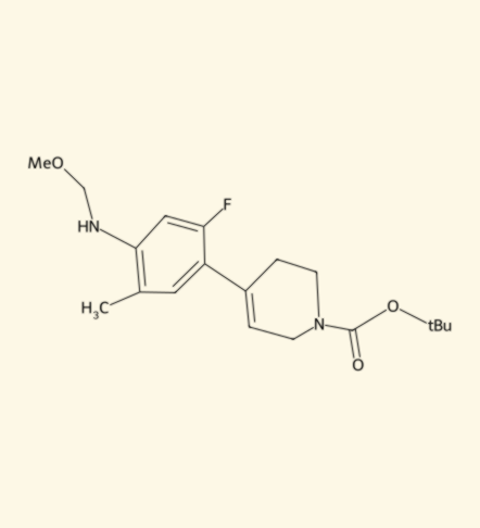 COCNc1cc(F)c(C2=CCN(C(=O)OC(C)(C)C)CC2)cc1C